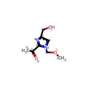 COCn1cc(CO)nc1C(C)=O